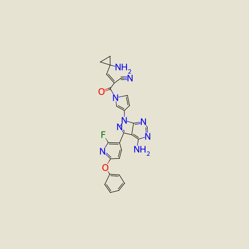 N#CC(=CC1(N)CC1)C(=O)n1ccc(-n2nc(-c3ccc(Oc4ccccc4)nc3F)c3c(N)ncnc32)c1